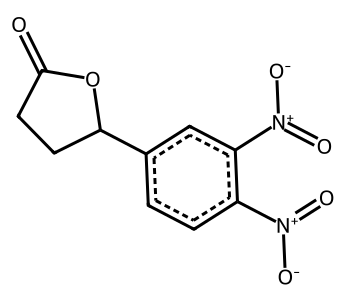 O=C1CCC(c2ccc([N+](=O)[O-])c([N+](=O)[O-])c2)O1